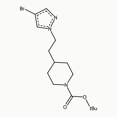 CC(C)(C)OC(=O)N1CCC(CCn2cc(Br)cn2)CC1